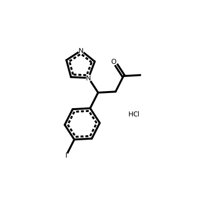 CC(=O)CC(c1ccc(I)cc1)n1ccnc1.Cl